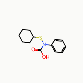 O=C(O)N(SC1CCCCC1)c1ccccc1